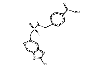 COC(=O)c1ccc(CNS(=O)(=O)Cc2ccc3nc(C(C)C)sc3c2)cc1